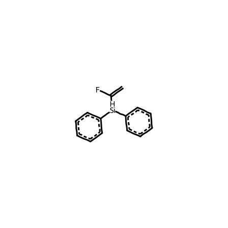 C=C(F)[SiH](c1ccccc1)c1ccccc1